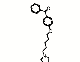 O=C(c1ccccc1)c1ccc(OCCCCCN2CCCC2)cc1